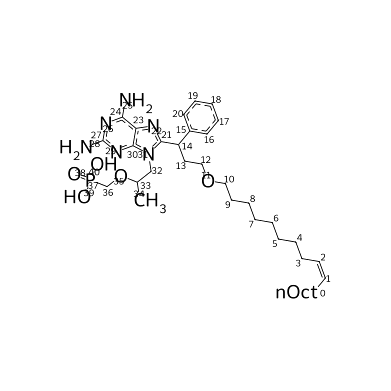 CCCCCCCC/C=C\CCCCCCCCOCCC(c1ccccc1)c1nc2c(N)nc(N)nc2n1CC(C)OCP(=O)(O)O